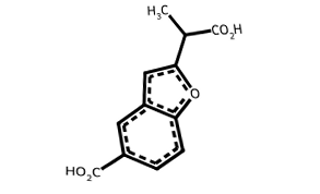 CC(C(=O)O)c1cc2cc(C(=O)O)ccc2o1